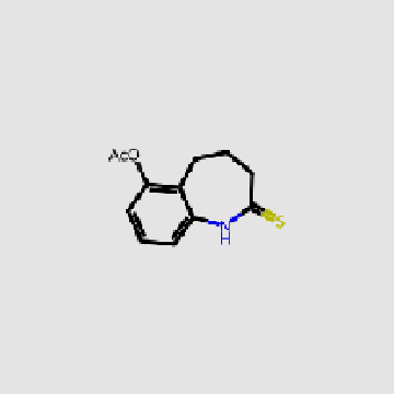 CC(=O)Oc1cccc2c1CCCC(=S)N2